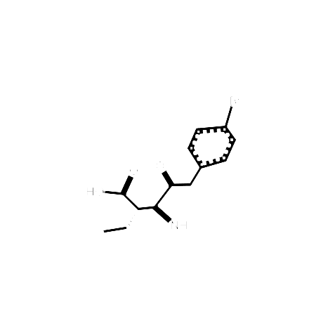 CC[C@@H](C(=N)C(=O)Cc1ccc(Br)cc1)C(=O)O